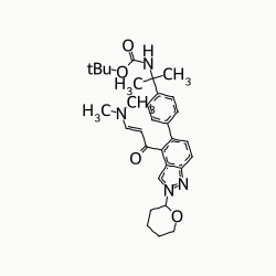 CN(C)C=CC(=O)c1c(-c2ccc(C(C)(C)NC(=O)OC(C)(C)C)cc2)ccc2nn(C3CCCCO3)cc12